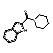 O=C(c1cc2ccccc2[nH]1)N1CC[CH]CC1